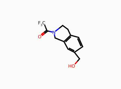 O=C(N1CCc2ccc(CO)cc2C1)C(F)(F)F